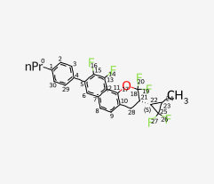 CCCc1ccc(-c2cc3ccc4c(c3c(F)c2F)OC(F)(F)C([C@@H]2C(C)C2(F)F)C4)cc1